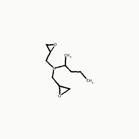 CCCC(C)N(CC1CO1)CC1CO1